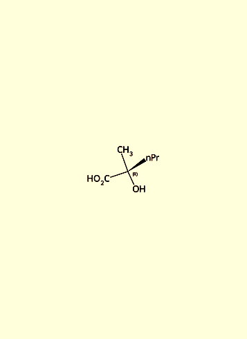 CCC[C@@](C)(O)C(=O)O